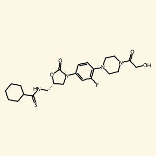 O=C(CO)N1CCN(c2ccc(N3C[C@H](CNC(=S)C4CCCCC4)OC3=O)cc2F)CC1